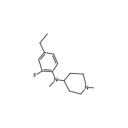 CCc1ccc(N(C)C2CCN(C)CC2)c(F)c1